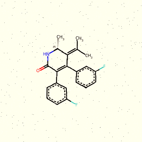 CC(C)=C1C(c2cccc(F)c2)=C(c2cccc(F)c2)C(=O)N[C@@H]1C